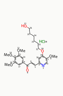 COc1cnc(C=CC(=O)c2cc(OC)c(OC)c(OC)c2)cc1OCCCCCCO.Cl